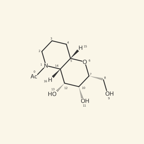 CC(=O)N1CCC[C@@H]2O[C@H](CO)[C@H](O)[C@H](O)[C@@H]21